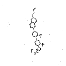 C=CCCc1ccc2cc(-c3ccc(-c4ccc(OC(F)(F)F)c(F)c4)c(F)c3)ccc2c1